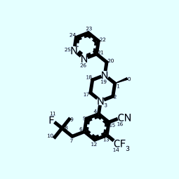 C[C@H]1CN(c2cc(CC(C)(C)F)cc(C(F)(F)F)c2C#N)CCN1Cc1cccnn1